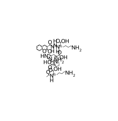 CC(=O)N[C@@H](CCCCN)C(=O)O.NCCCC[C@H](NNNC(=O)c1cc2ccccc2oc1=O)C(=O)O.N[C@@H](Cc1c[nH]cn1)C(=O)O.O=C(O)[C@@H]1CCCN1